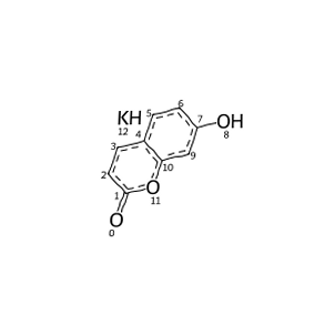 O=c1ccc2ccc(O)cc2o1.[KH]